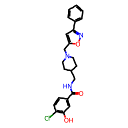 O=C(NCC1CCN(Cc2cc(-c3ccccc3)no2)CC1)c1ccc(Cl)c(O)c1